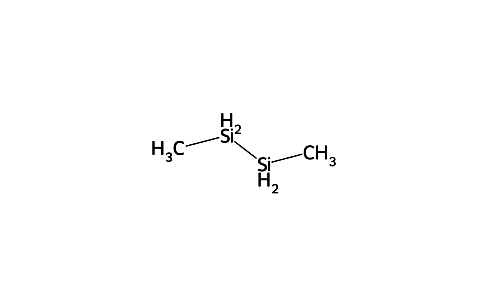 C[SiH2][SiH2]C